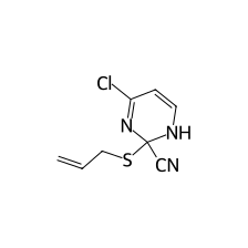 C=CCSC1(C#N)N=C(Cl)C=CN1